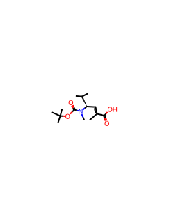 CC(=C[C@H](C(C)C)N(C)C(=O)OC(C)(C)C)C(=O)O